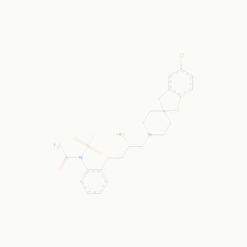 CS(=O)(=O)N(C(=O)C(F)(F)F)c1ccccc1OC[C@H](O)CN1CCC2(CC1)Cc1cc(Cl)ccc1O2